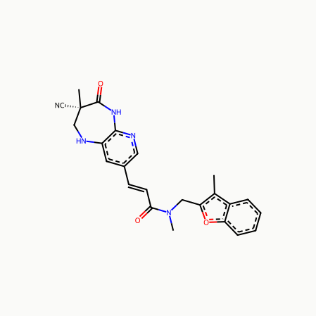 Cc1c(CN(C)C(=O)/C=C/c2cnc3c(c2)NC[C@](C)(C#N)C(=O)N3)oc2ccccc12